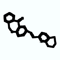 O=C1c2ccccc2COc2ccc(C=Cc3ccc4c(n3)CCCC4)cc21